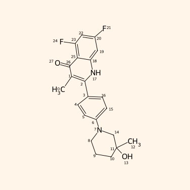 Cc1c(-c2ccc(N3CCCC(C)(O)C3)cc2)[nH]c2cc(F)cc(F)c2c1=O